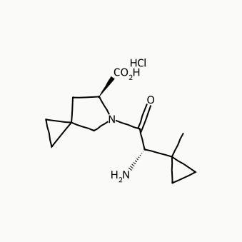 CC1([C@H](N)C(=O)N2CC3(CC3)C[C@H]2C(=O)O)CC1.Cl